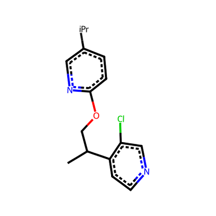 CC(C)c1ccc(OCC(C)c2ccncc2Cl)nc1